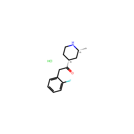 C[C@@H]1C[C@H](C(=O)Cc2ccccc2F)CCN1.Cl